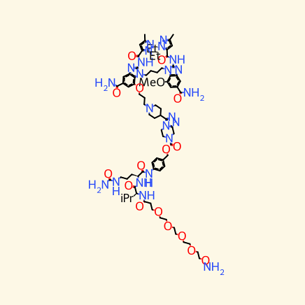 CCn1nc(C)cc1C(=O)Nc1nc2cc(C(N)=O)cc(OC)c2n1CCCCn1c(NC(=O)c2cc(C)nn2CC)nc2cc(C(N)=O)cc(OCCCN3CCC(c4nnc5n4CCN(C(=O)OCc4ccc(NC(=O)[C@H](CCCNC(N)=O)NC(=O)[C@@H](NC(=O)CCOCCOCCOCCOCCON)C(C)C)cc4)C5)CC3)c21